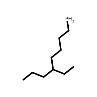 CCCC(CC)CCCCP